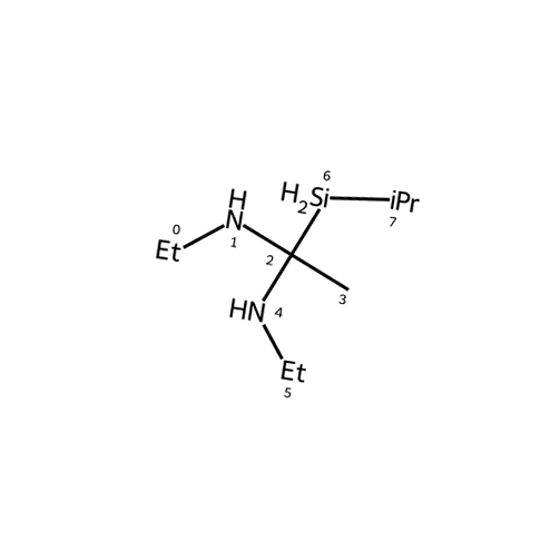 CCNC(C)(NCC)[SiH2]C(C)C